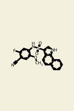 COc1cc(C#N)c(F)cc1NS(=O)(=O)c1c[nH]c2c1ccc1ccccc12